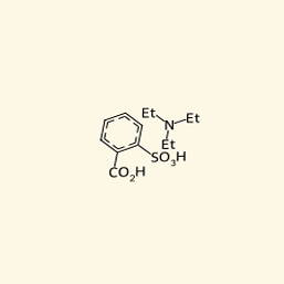 CCN(CC)CC.O=C(O)c1ccccc1S(=O)(=O)O